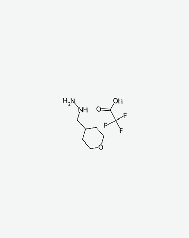 NNCC1CCOCC1.O=C(O)C(F)(F)F